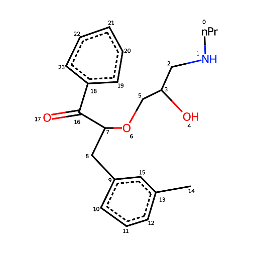 CCCNCC(O)COC(Cc1cccc(C)c1)C(=O)c1ccccc1